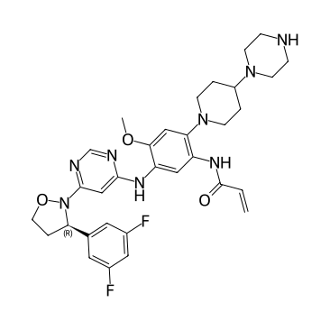 C=CC(=O)Nc1cc(Nc2cc(N3OCC[C@@H]3c3cc(F)cc(F)c3)ncn2)c(OC)cc1N1CCC(N2CCNCC2)CC1